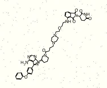 Nc1ncnc2c1c(-c1ccc(Oc3ccccc3)cc1)nn2[C@@H]1CCCN(C(=O)CCCN2CCN(CCOCCNc3cccc4c3C(=O)N(C3CCC(=O)NC3=O)C4=O)CC2)C1